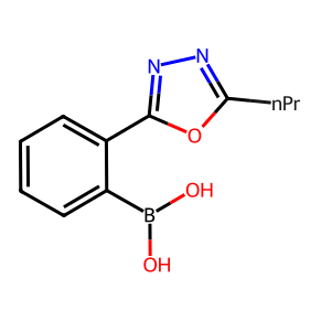 CCCc1nnc(-c2ccccc2B(O)O)o1